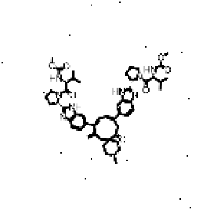 C=C1CC2(CCC(C)CC2)C(=O)C/C(c2ccc3nc([C@@H]4CCCN4C(=O)[C@@H](NC(=O)OC)C(C)C)[nH]c3c2)=C\C=C/1c1ccc2nc([C@@H]3CCCN3C(=O)[C@@H](NC(=O)OC)C(C)C)[nH]c2c1